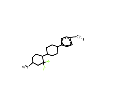 CCCC1CCC(C2CCC(c3ccc(C)cc3)CC2)C(F)(F)C1